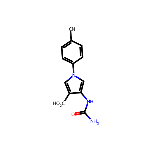 N#Cc1ccc(-n2cc(NC(N)=O)c(C(=O)O)c2)cc1